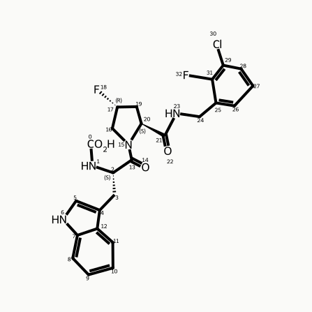 O=C(O)N[C@@H](Cc1c[nH]c2ccccc12)C(=O)N1C[C@H](F)C[C@H]1C(=O)NCc1cccc(Cl)c1F